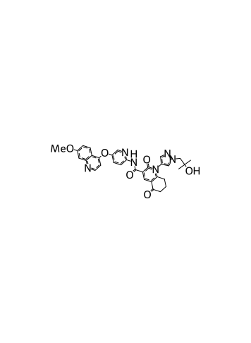 COc1ccc2c(Oc3ccc(NC(=O)c4cc5c(n(-c6cnn(CC(C)(C)O)c6)c4=O)CCCC5=O)nc3)ccnc2c1